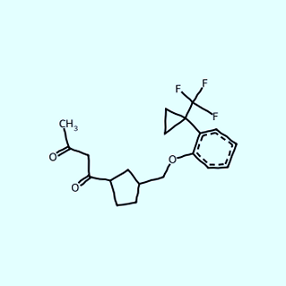 CC(=O)CC(=O)C1CCC(COc2ccccc2C2(C(F)(F)F)CC2)C1